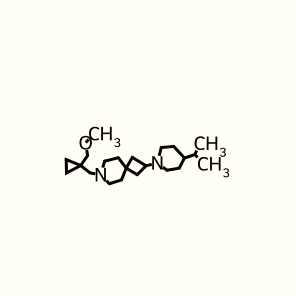 COCC1(CN2CCC3(CC2)CC(N2CCC(C(C)C)CC2)C3)CC1